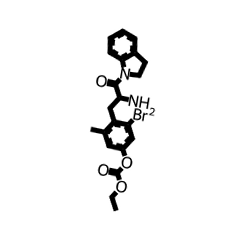 CCOC(=O)Oc1cc(C)c(CC(N)C(=O)N2CCc3ccccc32)c(Br)c1